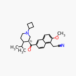 COc1ccc2cc(C(=O)[C@@H]3CN(C4CCC4)CCC3C(C)C)ccc2c1CC#N